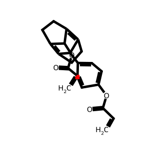 C=CC(=O)Oc1ccc(C2C3=C4CCC(=C2CC3)C4OC(=O)C=C)cc1